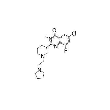 Cn1c([C@@H]2CCCN(CCN3CCCC3)C2)nc2c(F)cc(Cl)cc2c1=O